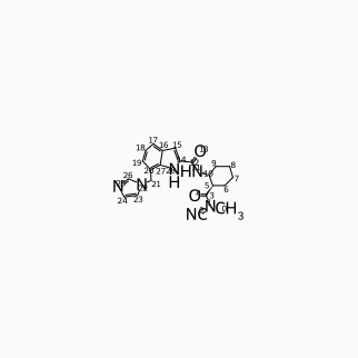 CN(C#N)C(=O)[C@@H]1CCCC[C@@H]1NC(=O)c1cc2cccc(Cn3ccnc3)c2[nH]1